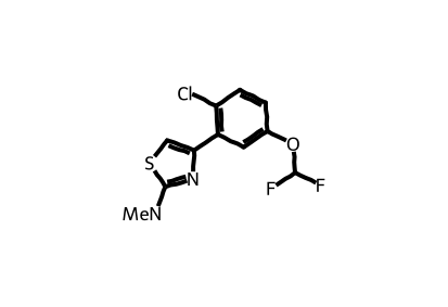 CNc1nc(-c2cc(OC(F)F)ccc2Cl)cs1